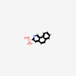 OB(O)c1cc2ccc3ccccc3c2cn1